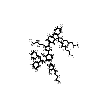 CCCCCCCCC1(CCCCCCCC)c2cc(C)ccc2-c2ccc(-c3sc(-c4ccc(-c5cc(CCCCC)c(C)s5)c5nc(-c6ccccc6)c(-c6ccccc6)nc45)cc3CCCCC)cc21